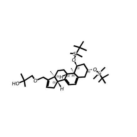 CC(C)(O)COCC1=CC[C@H]2C3=CC=C4C[C@@H](O[Si](C)(C)C(C)(C)C)C[C@H](O[Si](C)(C)C(C)(C)C)[C@]4(C)[C@H]3CC[C@]12C